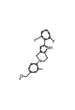 COCc1ccc(N2CCc3[nH]c(-c4c(F)cccc4F)cc3C2)c(C)c1